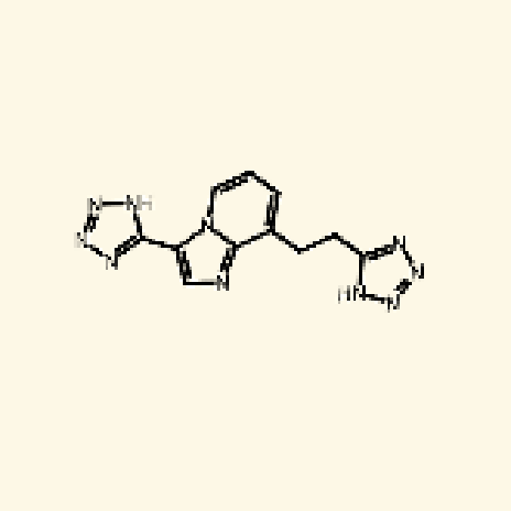 c1cc(CCc2nnn[nH]2)c2ncc(-c3nnn[nH]3)n2c1